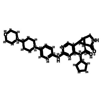 O=C1NCC2C3c4cnc(Nc5ccc(N6CCC(N7CCOCC7)CC6)cn5)nc4N(C4CCCC4)C(=O)[C@]123